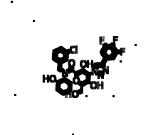 O=C([C@@H]1O[C@H](CO)[C@H](O)[C@H](n2cc(-c3cc(F)c(F)c(F)c3)nn2)[C@H]1O)N(Cc1cccc(Cl)c1)[C@H]1CCCC[C@@H]1O